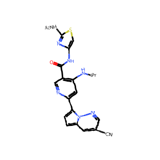 CC(=O)Nc1nc(NC(=O)c2cnc(-c3ccc4cc(C#N)cnn34)cc2NC(C)C)cs1